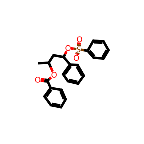 CC(CC(OS(=O)(=O)c1ccccc1)c1ccccc1)OC(=O)c1ccccc1